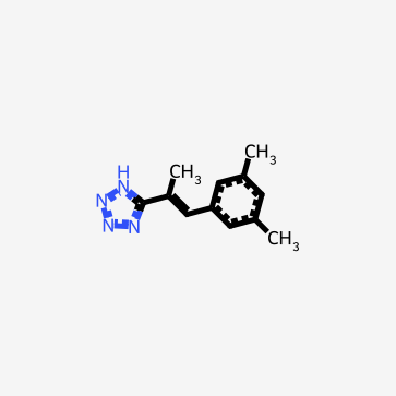 C/C(=C\c1cc(C)cc(C)c1)c1nnn[nH]1